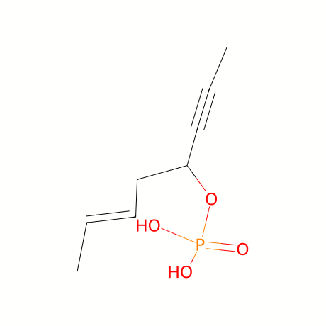 CC#CC(CC=CC)OP(=O)(O)O